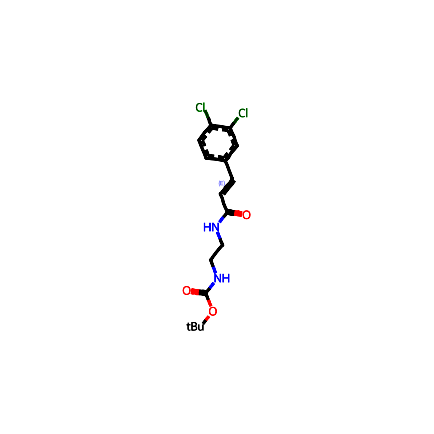 CC(C)(C)OC(=O)NCCNC(=O)/C=C/c1ccc(Cl)c(Cl)c1